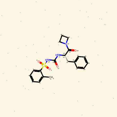 Cc1ccccc1S(=O)(=O)NC(=O)N[C@@H](Cc1ccccc1)C(=O)N1CCC1